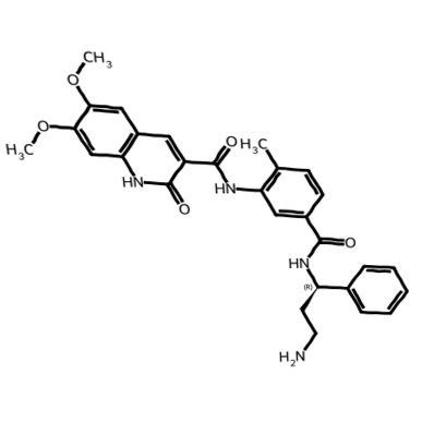 COc1cc2cc(C(=O)Nc3cc(C(=O)N[C@H](CCN)c4ccccc4)ccc3C)c(=O)[nH]c2cc1OC